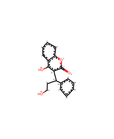 O=c1oc2ccccc2c(O)c1C(CCO)c1ccccc1